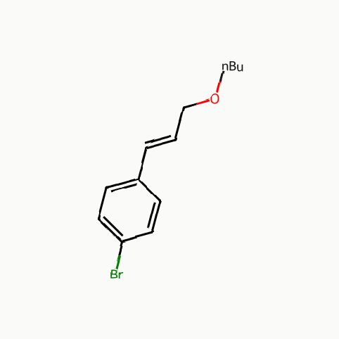 [CH2]CCCOC/C=C/c1ccc(Br)cc1